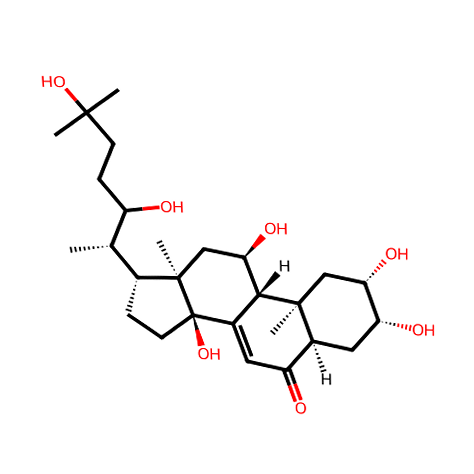 C[C@H](C(O)CCC(C)(C)O)[C@H]1CC[C@@]2(O)C3=CC(=O)[C@@H]4C[C@@H](O)[C@@H](O)C[C@]4(C)[C@H]3[C@H](O)C[C@]12C